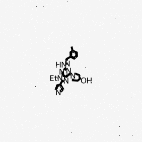 CCn1c(-c2ccncc2)nc2c(N3CCC(O)CC3)nc(NN=Cc3cccc(C)c3)nc21